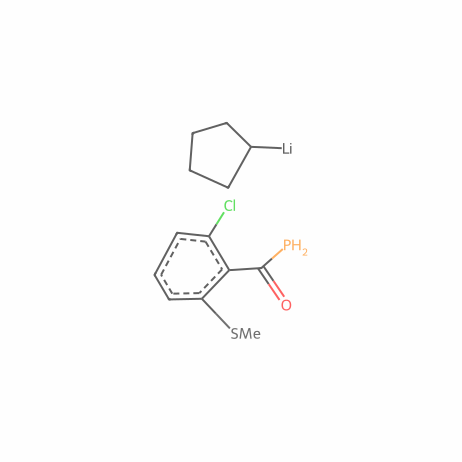 CSc1cccc(Cl)c1C(=O)P.[Li][CH]1CCCC1